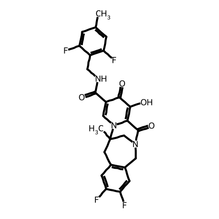 Cc1cc(F)c(CNC(=O)c2cn3c(c(O)c2=O)C(=O)N2Cc4cc(F)c(F)cc4CC3(C)C2)c(F)c1